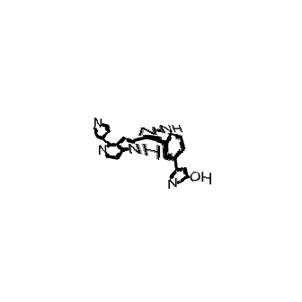 Oc1cncc(-c2ccc3[nH]nc(-c4cc5c(-c6ccncc6)nccc5[nH]4)c3c2)c1